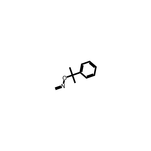 C=NOC(C)(C)c1ccccc1